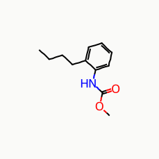 CCCCc1ccccc1NC(=O)OC